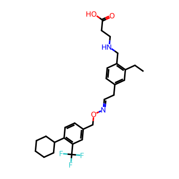 CCc1cc(CC=NOCc2ccc(C3CCCCC3)c(C(F)(F)F)c2)ccc1CNCCC(=O)O